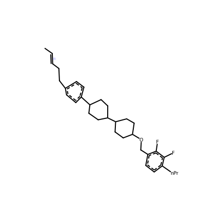 C/C=C/CCc1ccc(C2CCC(C3CCC(OCc4ccc(CCC)c(F)c4F)CC3)CC2)cc1